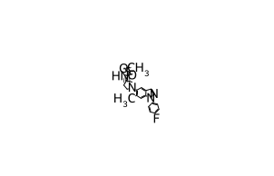 Cc1cc2c(cnn2-c2ccc(F)cc2)cc1N1CC[C@@H](NS(C)(=O)=O)C1